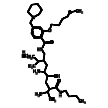 CCCCNC(=O)C(CC(O)C(N)CC(CNC(=O)c1ccc(CN2CCCCC2)cc1OCCCCOC)C(C)C)C(C)C.Cl.Cl